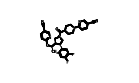 C[C@H](Oc1ccc(C#N)cn1)[C@H]1CN(C(=O)C2CCN(c3ccc(C#N)cn3)CC2)C[C@@H]1c1ccc(F)c(F)c1